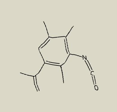 C=C(C)c1cc(C)c(C)c(N=C=O)c1C